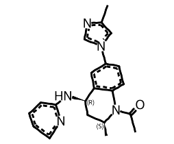 CC(=O)N1c2ccc(-n3cnc(C)c3)cc2[C@H](Nc2ccccn2)C[C@@H]1C